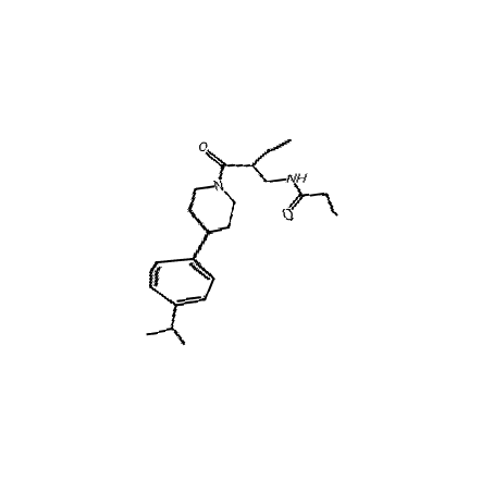 CCC(=O)NCC(CC)C(=O)N1CCC(c2ccc(C(C)C)cc2)CC1